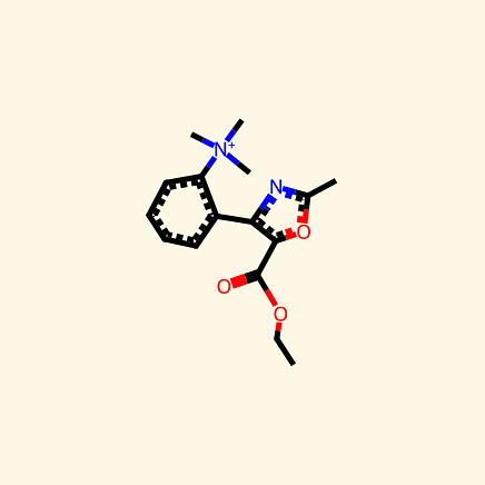 CCOC(=O)c1oc(C)nc1-c1ccccc1[N+](C)(C)C